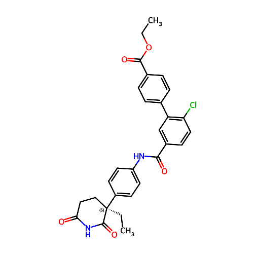 CCOC(=O)c1ccc(-c2cc(C(=O)Nc3ccc([C@]4(CC)CCC(=O)NC4=O)cc3)ccc2Cl)cc1